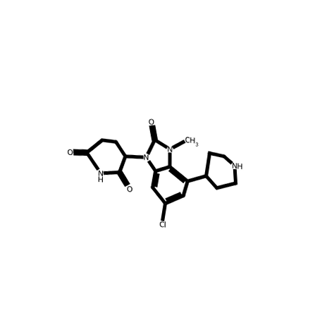 Cn1c(=O)n(C2CCC(=O)NC2=O)c2cc(Cl)cc(C3CCNCC3)c21